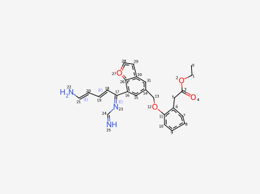 CCOC(=O)Cc1ccccc1OCc1cc(C(/C=C/C=C/N)=N/C=N)c2occc2c1